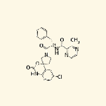 Cc1nccnc1C(=O)N[C@@H](Cc1ccccc1)C(=O)N1CCC2(C1)OC(=O)Nc1ccc(Cl)cc12